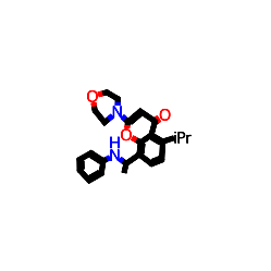 CC(C)c1ccc(C(C)Nc2ccccc2)c2oc(N3CCOCC3)cc(=O)c12